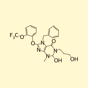 CN1c2nc(Oc3ccccc3OC(F)(F)F)n(Cc3ccccc3)c2C(=O)N(CCCO)C1O